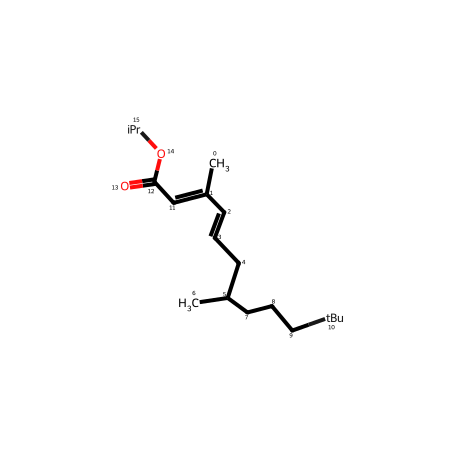 CC(C=CCC(C)CCCC(C)(C)C)=CC(=O)OC(C)C